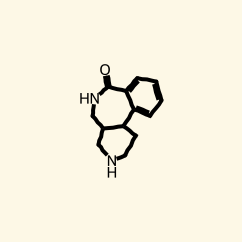 O=C1NCC2CNCCC2c2ccccc21